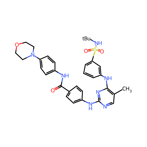 Cc1cnc(Nc2ccc(C(=O)Nc3ccc(N4CCOCC4)cc3)cc2)nc1Nc1cccc(S(=O)(=O)NC(C)(C)C)c1